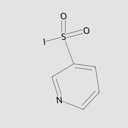 O=S(=O)(I)c1cccnc1